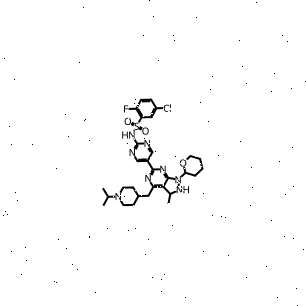 CC1NN(C2CCCCO2)c2nc(-c3cnc(NS(=O)(=O)c4cc(Cl)ccc4F)nc3)nc(CC3CCN(C(C)C)CC3)c21